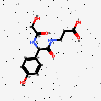 O=C(O)CCNC(=O)[C@H](NC(=O)CO)c1ccc(O)cc1